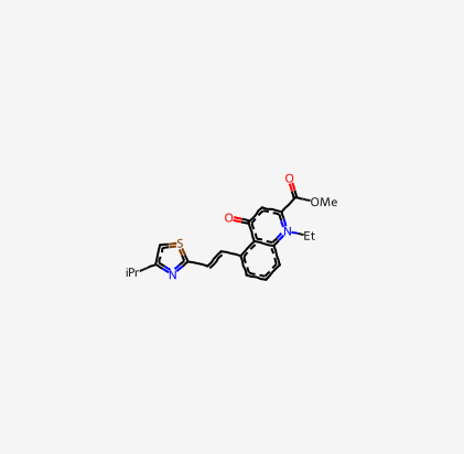 CCn1c(C(=O)OC)cc(=O)c2c(C=Cc3nc(C(C)C)cs3)cccc21